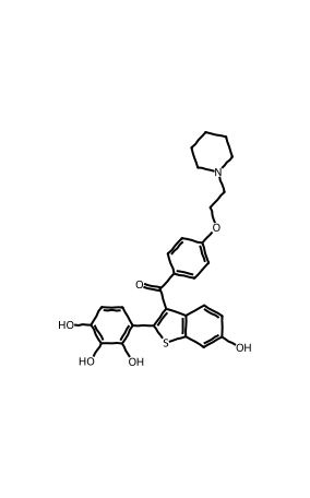 O=C(c1ccc(OCCN2CCCCC2)cc1)c1c(-c2ccc(O)c(O)c2O)sc2cc(O)ccc12